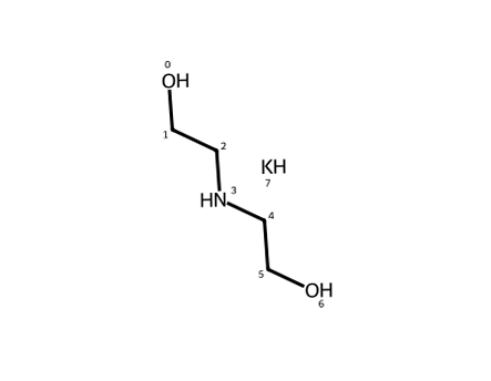 OCCNCCO.[KH]